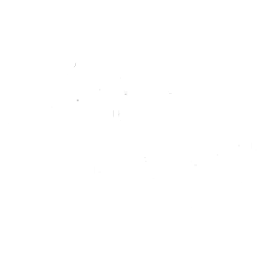 CC(C)(C)[Si](Oc1c(Br)c(Br)c(O[Si](c2ccccc2)(c2ccccc2)C(C)(C)C)c(Br)c1Br)(c1ccccc1)c1ccccc1